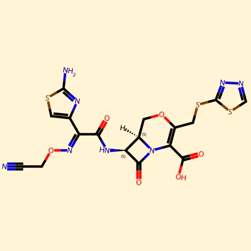 N#CCON=C(C(=O)N[C@@H]1C(=O)N2C(C(=O)O)=C(CSc3nncs3)OC[C@H]12)c1csc(N)n1